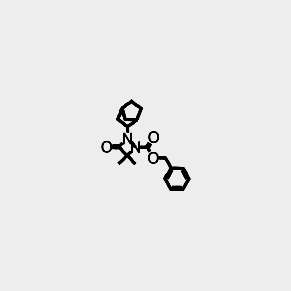 CC1(C)C(=O)N(C2CC3CCC2C3)N1C(=O)OCc1ccccc1